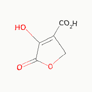 O=C(O)C1=C(O)C(=O)OC1